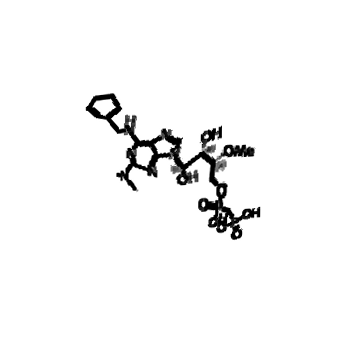 CO[C@H](COP(=O)(O)CP(=O)(O)O)[C@@H](O)[C@@H](O)n1cnc2c(NCc3ccccc3)nc(N(C)C)nc21